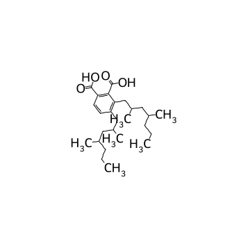 CCCC(C)CC(C)Cc1ccc(C(=O)O)c(C(=O)O)c1CC(C)CC(C)CCC